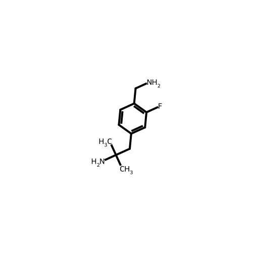 CC(C)(N)Cc1ccc(CN)c(F)c1